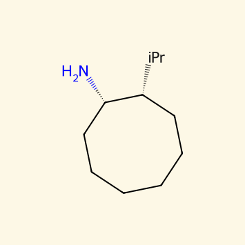 CC(C)[C@@H]1CCCCCC[C@@H]1N